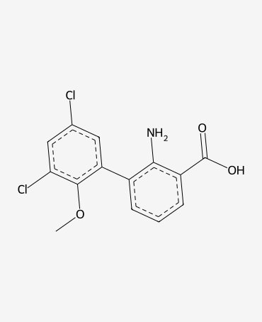 COc1c(Cl)cc(Cl)cc1-c1cccc(C(=O)O)c1N